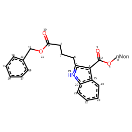 CCCCCCCCCOC(=O)c1c(CCCC(=O)OCc2ccccc2)[nH]c2ccccc12